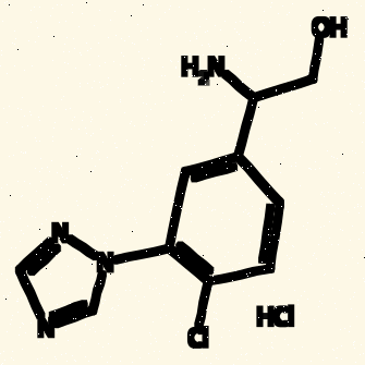 Cl.NC(CO)c1ccc(Cl)c(-n2cncn2)c1